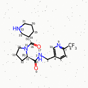 O=C(NCc1ccc(C(F)(F)F)nc1)[C@H]1CCCN1C(=O)[C@H]1CCCNC1